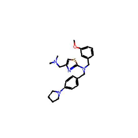 COc1cccc(CN(Cc2ccc(N3CCCC3)cc2)c2nc(CN(C)C)cs2)c1